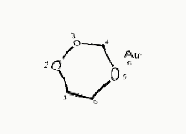 C1COOCO1.[Au]